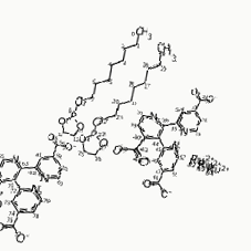 CCCCCCCCOP1OCCO1.CCCCCCCCOP1OCCO1.O=C([O-])c1ccnc(-c2nccc(C(=O)[O-])c2-c2cc(C(=O)[O-])ccn2)c1.O=C([O-])c1ccnc(-c2nccc(C(=O)[O-])c2-c2cc(C(=O)[O-])ccn2)c1.[Ru+2].[Ru+2].[Ru+2]